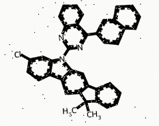 CC1(C)c2ccccc2-c2cc3c(cc21)c1ccc(Cl)cc1n3-c1nc(-c2ccc3ccccc3c2)c2ccccc2n1